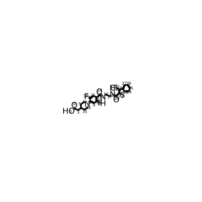 O=C(O)CC1CCN(c2cc(F)c(C(=O)NCCNC(=O)c3sc4ccccc4c3Cl)cc2F)CC1